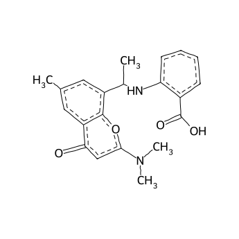 Cc1cc(C(C)Nc2ccccc2C(=O)O)c2oc(N(C)C)cc(=O)c2c1